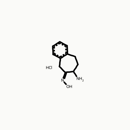 Cl.NC1CCc2ccccc2C/C1=N/O